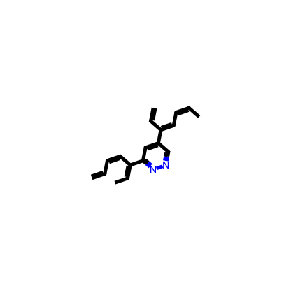 C=C/C=C\C(=C/C)c1cc(/C(C=C)=C/C=C\C)cnn1